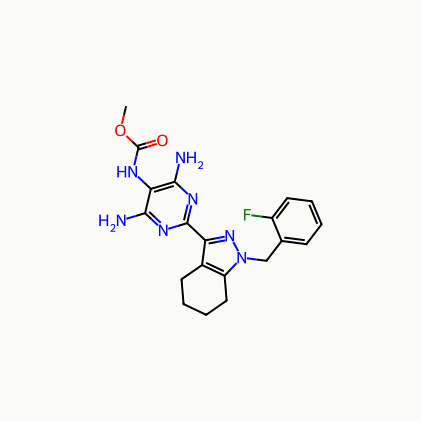 COC(=O)Nc1c(N)nc(-c2nn(Cc3ccccc3F)c3c2CCCC3)nc1N